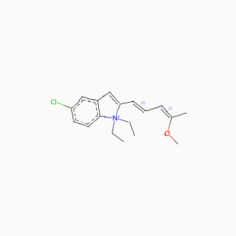 CC[N+]1(CC)C(/C=C/C=C(/C)OC)=Cc2cc(Cl)ccc21